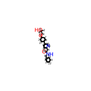 CC(C)(O)COc1ccc(-c2ccc(CC(=O)NCc3ccccc3)nc2)cc1